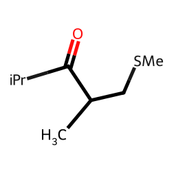 CSCC(C)C(=O)C(C)C